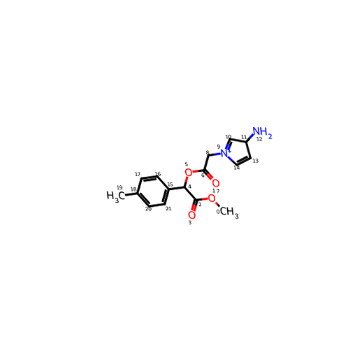 COC(=O)C(OC(=O)C[N+]1=CC(N)C=C1)c1ccc(C)cc1